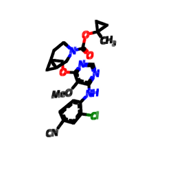 [C-]#[N+]c1ccc(Nc2ncnc(OCC34CCN(C(=O)OC5(C)CC5)CC3C4)c2OC)c(Cl)c1